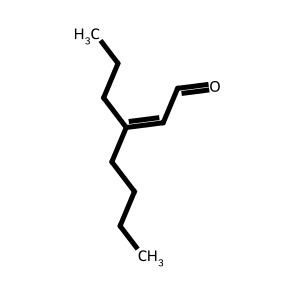 CCCCC(=CC=O)CCC